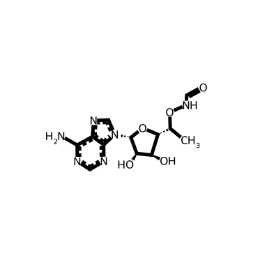 CC(ONC=O)[C@H]1O[C@@H](n2cnc3c(N)ncnc32)[C@H](O)[C@@H]1O